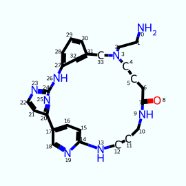 NCCN1CCCC(=O)NCCCNc2ccc(cn2)-c2ccnc(n2)Nc2cccc(c2)C1